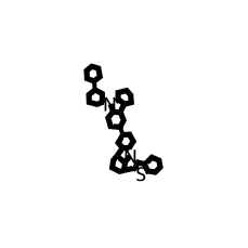 c1ccc(-c2cccc(-n3c4ccccc4c4cc(-c5ccc6c(c5)c5cccc7c8sc9ccccc9c8n6c57)ccc43)c2)cc1